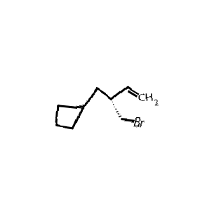 C=C[C@H](CBr)CC1CCC1